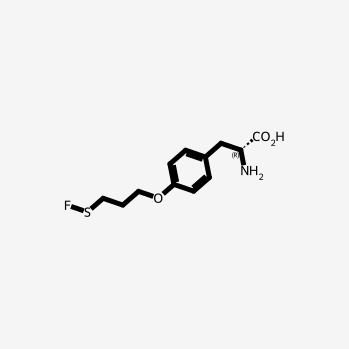 N[C@H](Cc1ccc(OCCCSF)cc1)C(=O)O